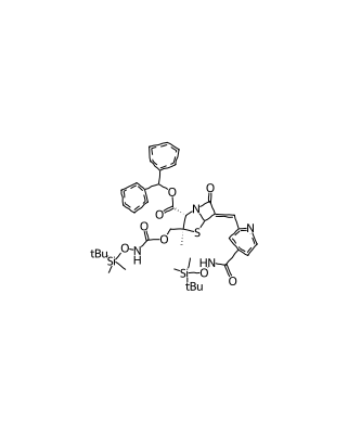 CC(C)(C)[Si](C)(C)ONC(=O)OC[C@]1(C)SC2/C(=C\c3cc(C(=O)NO[Si](C)(C)C(C)(C)C)ccn3)C(=O)N2[C@H]1C(=O)OC(c1ccccc1)c1ccccc1